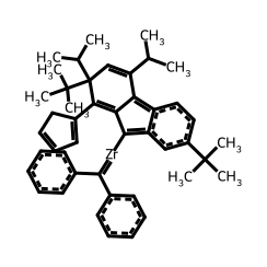 CC(C)C1=CC(C(C)C)(C(C)(C)C)C(C2=CC=CC2)=C2[C]([Zr]=[C](c3ccccc3)c3ccccc3)=c3cc(C(C)(C)C)ccc3=C12